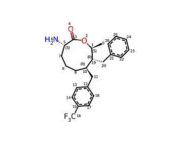 C[C@@H]1OC(=O)[C@@H](N)CCC[C@H](Cc2ccc(C(F)(F)F)cc2)[C@H]1Cc1ccccc1